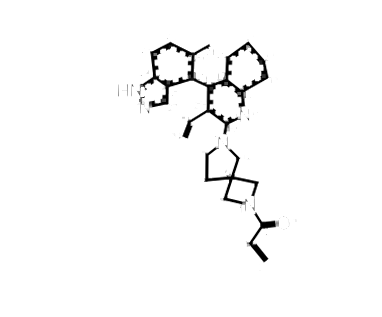 C=CC(=O)N1CC2(CCN(c3nc4ccccc4c(-c4c(C)ccc5[nH]ncc45)c3C=C)C2)C1